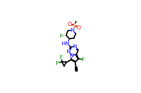 C#Cc1c(F)c2cnc(N[C@@H]3CCN(S(C)(=O)=O)C[C@H]3F)nn2c1C1CC1(F)F